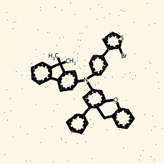 CC1(C)c2ccccc2-c2ccc(N(c3ccc(-c4ccsc4Br)cc3)c3cc4c(c(-c5ccccc5)c3)Cc3ccccc3O4)cc21